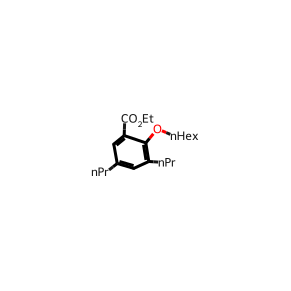 CCCCCCOc1c(CCC)cc(CCC)cc1C(=O)OCC